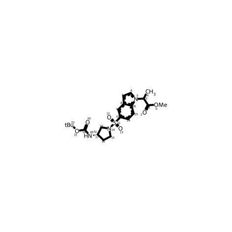 COC(=O)C(C)n1ccc2cc(S(=O)(=O)N3CC[C@H](NC(=O)OC(C)(C)C)C3)ccc21